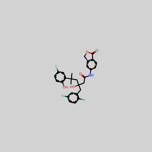 CC(C)(CC(O)(CC(=O)Nc1ccc2c(c1)COC2=O)Cc1cc(F)ccc1F)c1cc(F)ccc1O